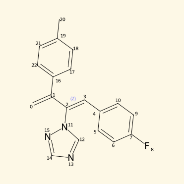 C=C(/C(=C/c1ccc(F)cc1)n1cncn1)c1ccc(C)cc1